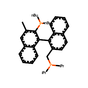 CCCCP(CCCC)c1c(C)cc2ccccc2c1-c1c(CP(C(C)C)C(C)C)ccc2ccccc12